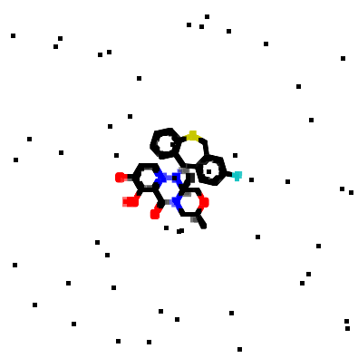 C[C@H]1CN2C(=O)c3c(O)c(=O)ccn3N([C@H]3c4ccc(F)cc4CSc4ccccc43)[C@@H]2CO1